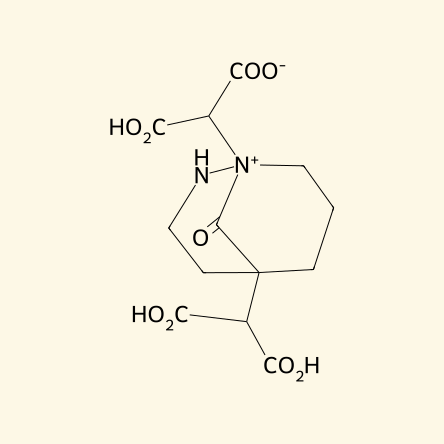 O=C(O)C(C(=O)O)C12CCC[N+](C(C(=O)[O-])C(=O)O)(NCC1)C2=O